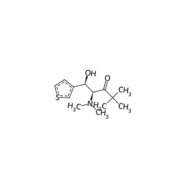 CN(C)[C@H](C(=O)C(C)(C)C)[C@H](O)c1ccsc1